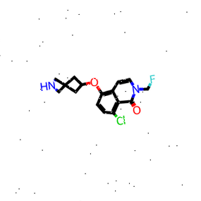 O=c1c2c(Cl)ccc(OC3CC4(CNC4)C3)c2ccn1CF